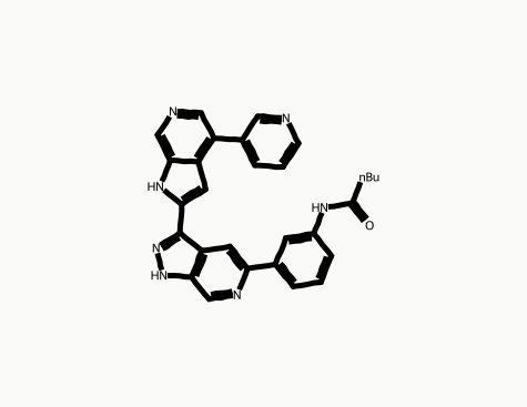 CCCCC(=O)Nc1cccc(-c2cc3c(-c4cc5c(-c6cccnc6)cncc5[nH]4)n[nH]c3cn2)c1